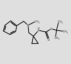 CN(Cc1ccccc1)CC1(NC(=O)OC(C)(C)C)CC1